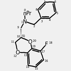 CCCN(Cc1ccccc1)C[C@H]1COc2cccc(F)c2O1